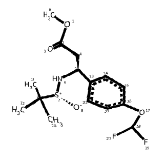 COC(=O)C[C@H](N[S@+]([O-])C(C)(C)C)c1ccc(OC(F)F)cc1